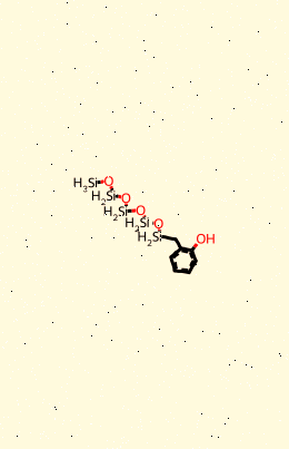 Oc1ccccc1C[SiH2]O[SiH2]O[SiH2]O[SiH2]O[SiH3]